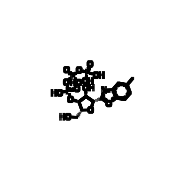 Cc1ccc2oc([C@@H]3O[C@H](CO)[C@@H](OP(=O)(O)OP(=O)(O)OP(=O)(O)O)[C@H]3O)nc2c1